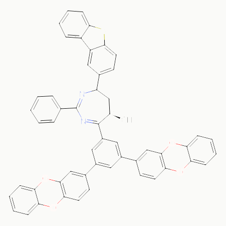 C[C@@H]1CC(c2ccc3sc4ccccc4c3c2)N=C(c2ccccc2)N=C1c1cc(-c2ccc3c(c2)Oc2ccccc2O3)cc(-c2ccc3c(c2)Oc2ccccc2O3)c1